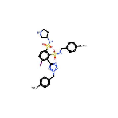 COc1ccc(CNS(=O)(=O)c2c(S(=O)(=O)N[C@@H]3CCNC3)ccc(I)c2-c2nnn(Cc3ccc(OC)cc3)n2)cc1